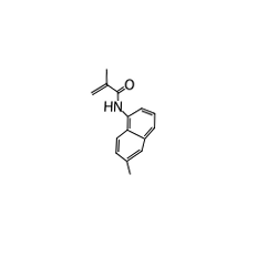 C=C(C)C(=O)Nc1cccc2cc(C)ccc12